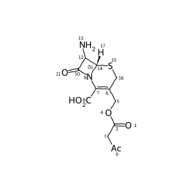 CC(=O)CC(=O)OCC1=C(C(=O)O)N2C(=O)C(N)[C@@H]2SC1